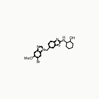 COc1cc2ncn(Cc3ccc4nc(NC5CCCCC5O)sc4c3)c2cc1Br